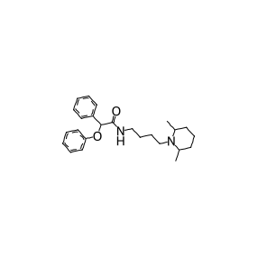 CC1CCCC(C)N1CCCCNC(=O)C(Oc1ccccc1)c1ccccc1